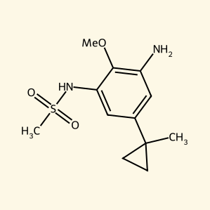 COc1c(N)cc(C2(C)CC2)cc1NS(C)(=O)=O